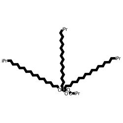 CC(C)CCCCCCCCCCCCCCC[O][Ti](=[O])([CH2]CCCCCCCCCCCCCCC(C)C)([CH2]CCCCCCCCCCCCCCC(C)C)[O]OC(C)C